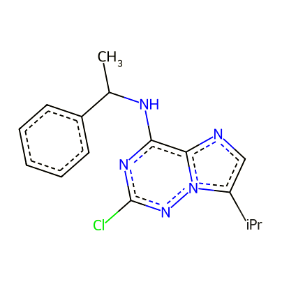 CC(C)c1cnc2c(NC(C)c3ccccc3)nc(Cl)nn12